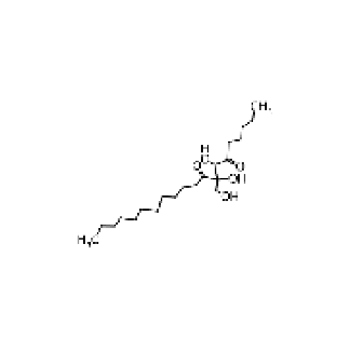 CCCCCCCCCCCC(=O)C(O)(CO)C(O)C(=O)CCCCC